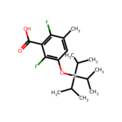 Cc1cc(O[Si](C(C)C)(C(C)C)C(C)C)c(F)c(C(=O)O)c1F